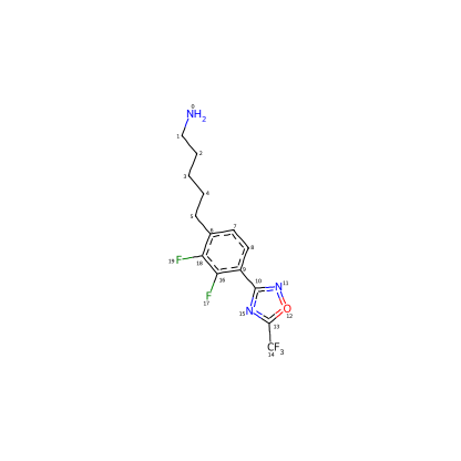 NCCCCCc1ccc(-c2noc(C(F)(F)F)n2)c(F)c1F